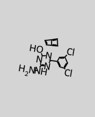 NNc1nc(O)nc(-c2cc(Cl)cc(Cl)c2)n1.c1cc2ccc1-2